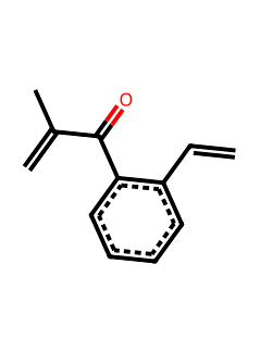 C=Cc1ccccc1C(=O)C(=C)C